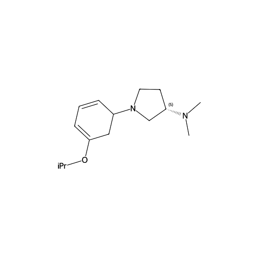 CC(C)OC1=CC=CC(N2CC[C@H](N(C)C)C2)C1